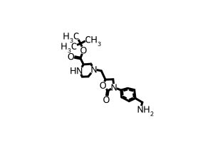 CC(C)(C)OC(=O)C1CN(CC2CN(c3ccc(CN)cc3)C(=O)O2)CCN1